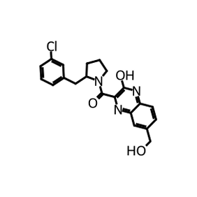 O=C(c1nc2cc(CO)ccc2nc1O)N1CCCC1Cc1cccc(Cl)c1